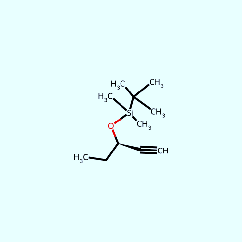 C#C[C@@H](CC)O[Si](C)(C)C(C)(C)C